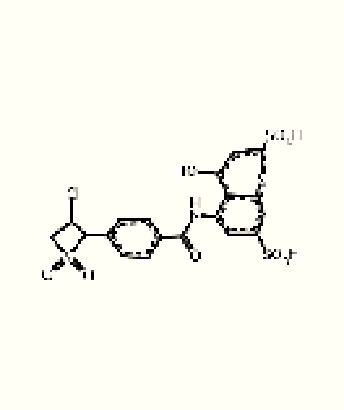 O=C(Nc1cc(S(=O)(=O)O)cc2cc(S(=O)(=O)O)cc(O)c12)c1ccc(C2C(Cl)CS2(=O)=O)cc1